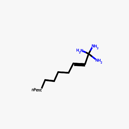 CCCCCCCCCC=CC(N)(N)N